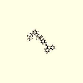 CC(OC(=O)C(C)(C)C)[n+]1cccc(CNC(=O)Nc2ccc(OCCc3ccccc3-c3ccccc3)cc2)c1